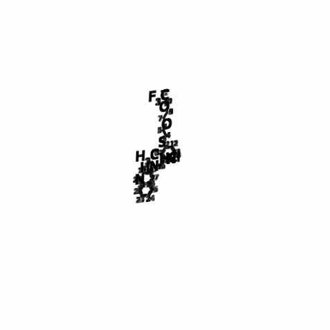 Cc1c(SCCOCCOCC(F)(F)F)ccnc1CNc1cnc2ccccc2c1.Cl